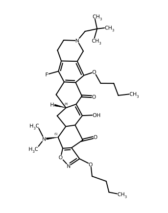 CCCCOc1noc2c1C(=O)C1C(O)=C3C(=O)c4c(c(F)c5c(c4OCCCC)CN(CC(C)(C)C)CC5)C[C@H]3CC1[C@@H]2N(C)C